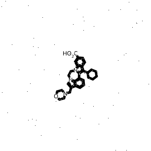 O=C(O)c1ccc2c(C3CCCCC3)c3n(c2c1)CCn1cc(CN2CCOCC2)c2cccc-3c21